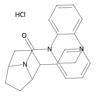 Cl.O=C(N1CCCc2ccccc21)N1C2CCC(c3cccnc3)C1CC2